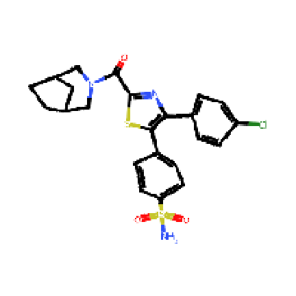 NS(=O)(=O)c1ccc(-c2sc(C(=O)N3CC4CCC(C4)C3)nc2-c2ccc(Cl)cc2)cc1